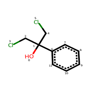 OC(CCl)(CCl)c1ccccc1